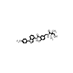 CC(C)(CO)C(=O)NCc1ccc(Cl)c(C(=O)Nc2cccc3c2cnn3-c2ccc(C(F)(F)F)cc2)c1